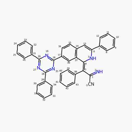 N#CC(=N)/C(=C1\NC(c2ccccc2)=Cc2ccc(-c3nc(-c4ccccc4)nc(-c4ccccc4)n3)cc21)c1ccccc1